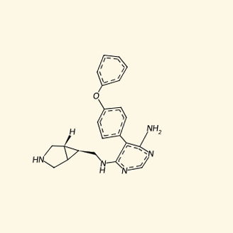 Nc1ncnc(NC[C@H]2C3CNC[C@@H]32)c1-c1ccc(Oc2ccccc2)cc1